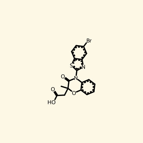 CC1(CC(=O)O)Oc2ccccc2N(c2nc3cc(Br)ccc3s2)C1=O